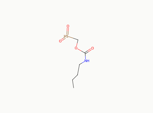 CCCCNC(=O)OC[SH](=O)=O